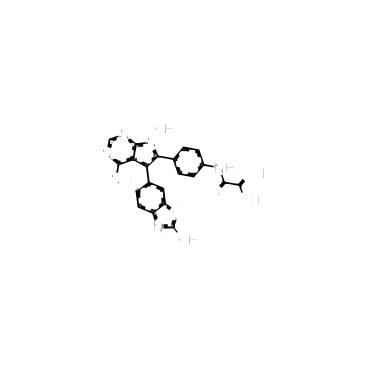 C=C(C)C(=O)Nc1ccc(-c2c(-c3ccc4nc(C)oc4c3)c3c(N)ncnc3n2C)cc1